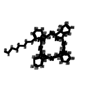 CCCCCCCCc1cccc2c3nc4nc(nc5[nH]c(nc6nc(nc([nH]3)c12)-c1ccccc1-6)c1ccccc51)-c1ccccc1-4